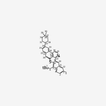 Cc1ccc2c(CC(C)(C)C)c3c(cc2c1)-c1nccc2c1c(cc1ccc(C4CCC(C)(C)CC4)cc12)S3